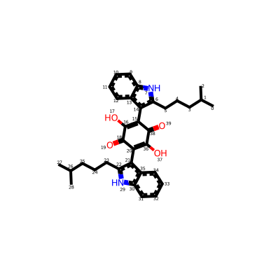 CC(C)CCCc1[nH]c2ccccc2c1C1=C(O)C(=O)C(c2c(CCCC(C)C)[nH]c3ccccc23)=C(O)C1=O